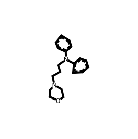 c1ccc(N(CCCN2CCOCC2)c2ccccc2)cc1